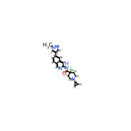 Cn1cc(-c2ccc3cnc(NC(=O)C4(F)CCN(C5CC5)CC4)cc3c2)cn1